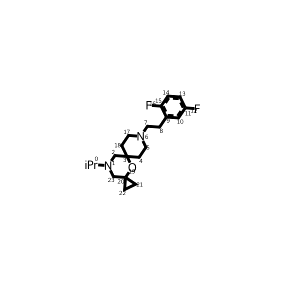 CC(C)N1CC2(CCN(CCc3cc(F)ccc3F)CC2)OC2(CC2)C1